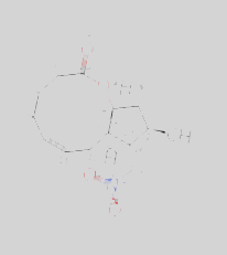 C[C@@H]1C[C@@H]2OC(=O)CCC/C=C\C[C@@H]2[C@H]1C[N+](=O)[O-]